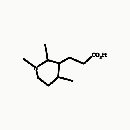 CCOC(=O)CCC1C(C)CCN(C)C1C